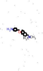 CN(C)CC1CCc2cc(OCc3ccc(N)cc3)ccc2C1